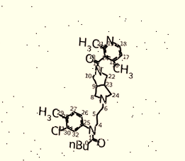 CCCCC(=O)N(CCCN1CC2CN(C(=O)c3c(C)ccnc3C)CC2C1)c1ccc(C)c(Cl)c1